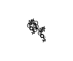 CC(C)(C)N=NC(C)(CCC(=O)OOC(=O)CCC(C)(N=NC(C)(C)C)Oc1ccc(SC(C)(C)C)cc1)Oc1ccc(SC(C)(C)C)cc1